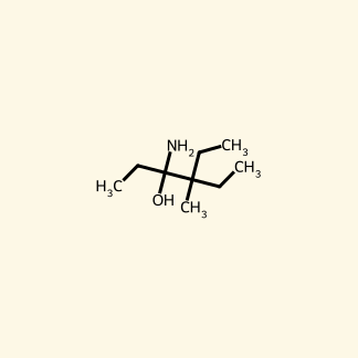 CCC(N)(O)C(C)(CC)CC